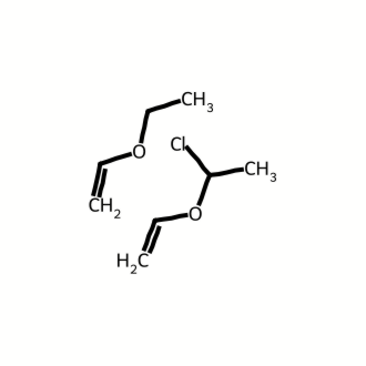 C=COC(C)Cl.C=COCC